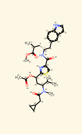 COC(=O)C(C)C[C@H](Cc1ccc2[nH]ccc2c1)NC(=O)c1csc(C(CC(C(C)C)N(C)C(=O)CC2CC2)OC(C)=O)n1